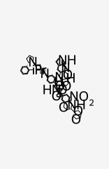 CC(C)c1ccccc1[C@@H]1CCCN1C1CC2(C1)CN(c1ccc(C(=O)NS(=O)(=O)c3cc4c(c([N+](=O)[O-])c3)N[C@@H]([C@H]3COCCO3)CO4)c(N3c4cc5cc[nH]c5nc4O[C@@H]4COC[C@H]43)c1)C2